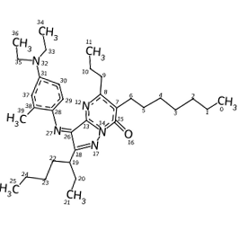 CCCCCCCc1c(CCC)nc2n(c1=O)N=C(C(CC)CCCC)C2=Nc1ccc(N(CC)CC)cc1C